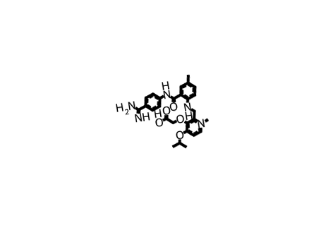 Cc1ccc(NCc2c(OCC(=O)O)c(OC(C)C)cc[n+]2C)c(C(=O)Nc2ccc(C(=N)N)cc2)c1